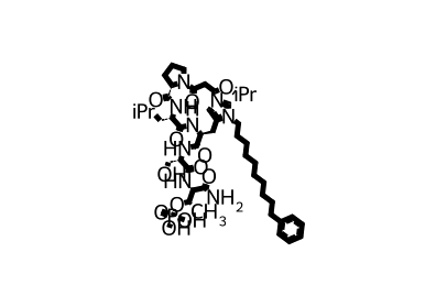 CC(C)C[C@H](NC(=O)[C@@H]1CCCN1C(=O)CCOC(C)C)C(=O)N[C@@H](Cc1cncn1CCCCCCCCCCc1ccccc1)C(=O)N[C@@H](CO)C(=O)N[C@H](C(N)=O)[C@@H](C)OP(=O)(O)O